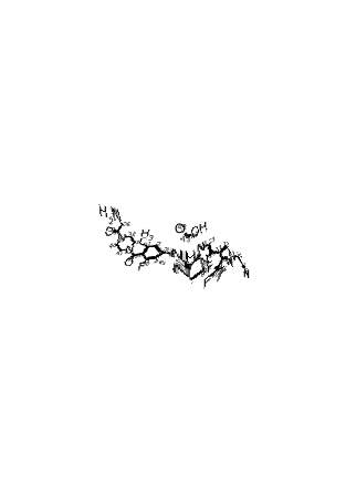 Cc1cc(Nc2nccn3c(-c4cn(CC#N)nc4C(F)(F)F)cnc23)cc(F)c1C(=O)N1CCN(C(=O)CN)CC1.O=CO